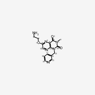 Cn1c(=O)c2nc(OCCN)nnc2n(Cc2cccnc2)c1=O